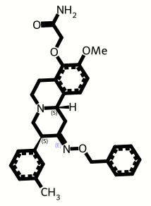 COc1ccc2c(c1OCC(N)=O)CCN1C[C@H](c3cccc(C)c3)/C(=N/OCc3ccccc3)C[C@@H]21